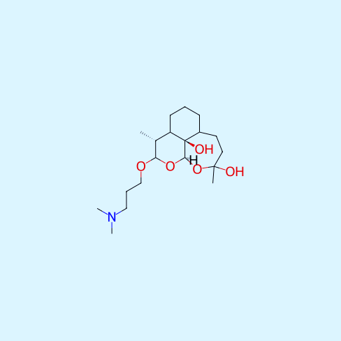 C[C@H]1C(OCCCN(C)C)O[C@@H]2OC(C)(O)CCC3CCCC1[C@]32O